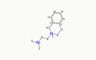 CN(C)CCN1CCc2cc[c]cc2C1